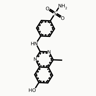 Cc1nc(Nc2ccc(S(N)(=O)=O)cc2)nc2cc(O)ccc12